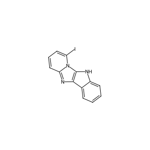 Ic1cccc2nc3c4ccccc4[nH]c3n12